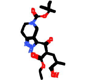 C=C(CO)CC(C(=O)OCC)C(=O)c1[nH]nc2c1CN(C(=O)OC(C)(C)C)CC2